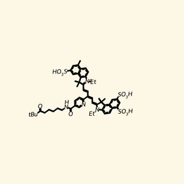 CCN1/C(=C/C=C(/C=C/C2=[N+](CC)c3ccc4c(C)cc(S(=O)(=O)O)cc4c3C2(C)C)c2ccc(C(=O)NCCCCCC(=O)C(C)(C)C)cn2)C(C)(C)c2c1ccc1c(S(=O)(=O)O)cc(S(=O)(=O)O)cc21